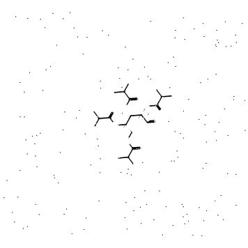 CC(C)C(=O)OC[C@@H](OC(=O)C(C)C)[C@H](OC(=O)C(C)C)[C@H](C=O)OC(=O)C(C)C